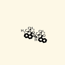 CCN(CC)C(=O)c1c(OBOc2ccc3ccccc3c2C(=O)N(CC)CC)ccc2ccccc12